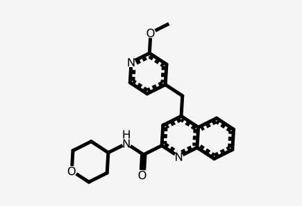 COc1cc(Cc2cc(C(=O)NC3CCOCC3)nc3ccccc23)ccn1